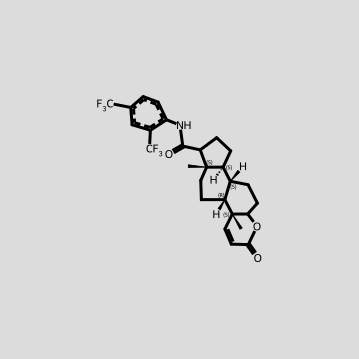 C[C@]12C=CC(=O)OC1CC[C@@H]1[C@H]2CC[C@]2(C)C(C(=O)Nc3ccc(C(F)(F)F)cc3C(F)(F)F)CC[C@@H]12